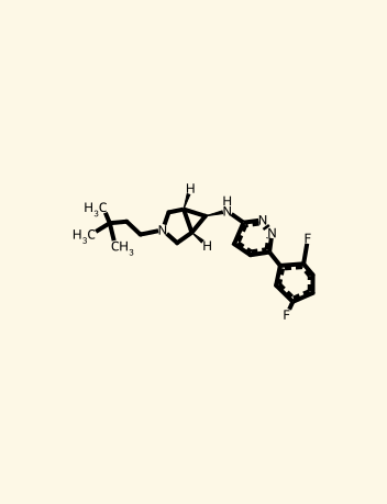 CC(C)(C)CCN1C[C@@H]2[C@H](C1)[C@H]2Nc1ccc(-c2cc(F)ccc2F)nn1